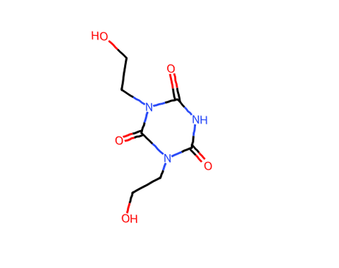 O=c1[nH]c(=O)n(CCO)c(=O)n1CCO